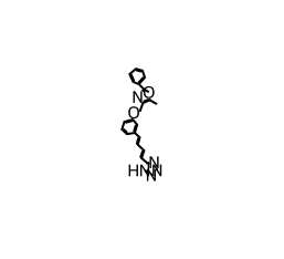 Cc1oc(-c2ccccc2)nc1COc1cccc(C=CC=Cc2nnn[nH]2)c1